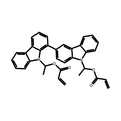 C=CC(=O)OC(C)n1c2ccccc2c2cc(-c3cccc4c5ccccc5n(C(C)OC(=O)C=C)c34)ccc21